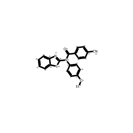 CCOc1ccc(N(C(=O)c2ccc(C#N)cc2)c2nc3ccccc3s2)cc1